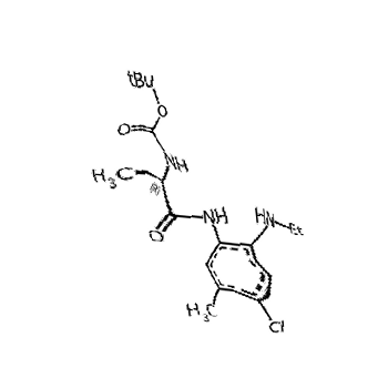 CCNc1cc(Cl)c(C)cc1NC(=O)[C@@H](C)NC(=O)OC(C)(C)C